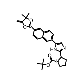 C=C1OB(c2ccc3cc(-c4cnc(C5CCCN5C(=O)OC(C)(C)C)[nH]4)ccc3c2)OC1(C)C